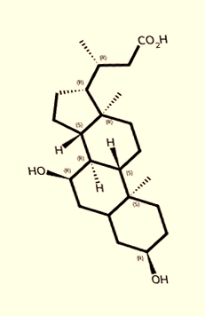 C[C@H](CC(=O)O)[C@H]1CC[C@H]2[C@@H]3[C@H](O)CC4C[C@H](O)CC[C@]4(C)[C@H]3CC[C@]12C